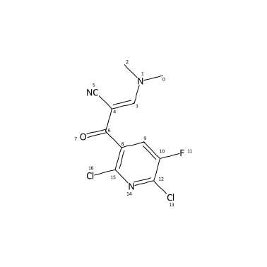 CN(C)C=C(C#N)C(=O)c1cc(F)c(Cl)nc1Cl